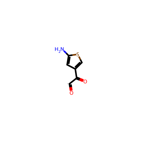 Nc1cc(C(=O)[C]=O)cs1